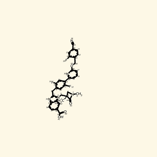 CN1C[C@@](C)(Cn2c(Cc3cc(F)c(-c4cccc(OCc5ccc(C#N)cc5F)n4)cc3F)nc3ccc(C(=O)O)cc32)C1=O